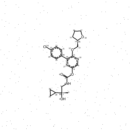 C[C@](O)(CNC(=O)Oc1cnc(OC[C@H]2CCCO2)c(-c2ccc(Cl)cc2)n1)C1CC1